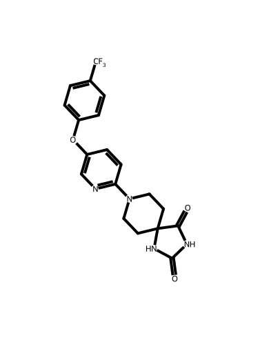 O=C1NC(=O)C2(CCN(c3ccc(Oc4ccc(C(F)(F)F)cc4)cn3)CC2)N1